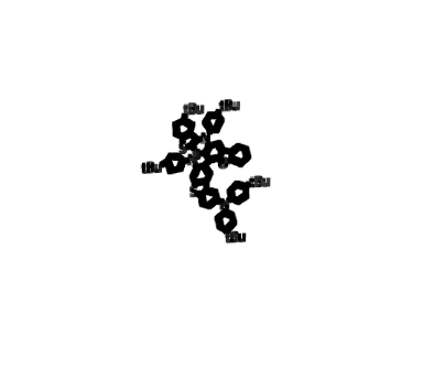 CC(C)(C)c1ccc(N2B3c4sc5ccc(C(C)(C)C)cc5c4N(c4ccc(C(C)(C)C)cc4)c4cc5c(oc6ccccc65)c(c43)-c3cc4c(cc32)sc2ccc(N(c3ccc(C(C)(C)C)cc3)c3ccc(C(C)(C)C)cc3)cc24)cc1